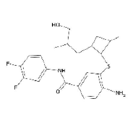 CC(CO)CC1CC(C)C1Sc1cc(C(=O)Nc2ccc(F)c(F)c2)ccc1N